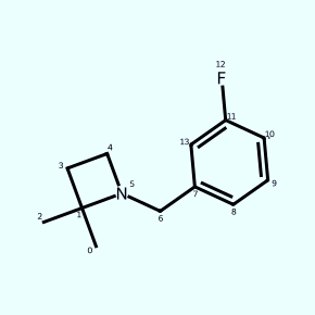 CC1(C)CCN1Cc1cc[c]c(F)c1